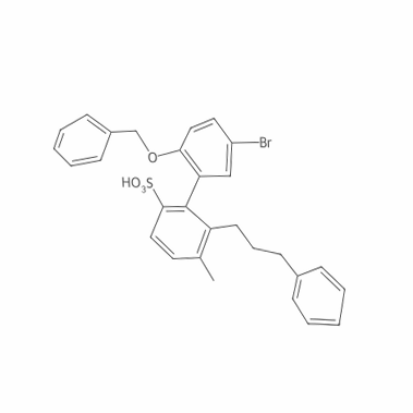 Cc1ccc(S(=O)(=O)O)c(-c2cc(Br)ccc2OCc2ccccc2)c1CCCc1ccccc1